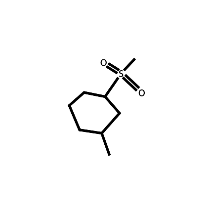 CC1CCCC(S(C)(=O)=O)C1